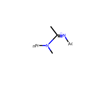 CCCN(C)/C(C)=N\C(C)=O